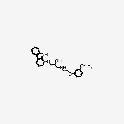 COc1cccc(OCCNCC(O)COc2cccc3c2[nH]c2ccccc23)c1